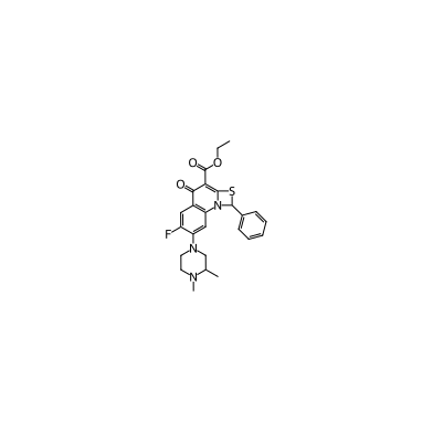 CCOC(=O)c1c2n(c3cc(N4CCN(C)C(C)C4)c(F)cc3c1=O)C(c1ccccc1)S2